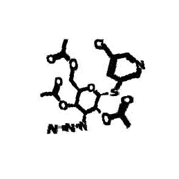 CC(=O)OC[C@H]1O[C@H](Sc2cncc(Cl)c2)[C@H](OC(C)=O)[C@@H](N=[N+]=[N-])[C@H]1OC(C)=O